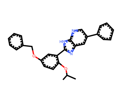 CC(C)Oc1ccc(OCc2ccccc2)cc1-c1nc2cc(-c3ccccc3)cnc2[nH]1